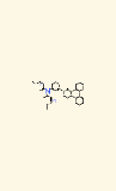 C=C(/C=C\CC)N(C(=C)/C=C\CC)c1cccc(-c2ccc3c4ccccc4c4ccccc4c3c2)c1